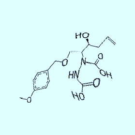 C=CC[C@H](O)[C@@H](COCc1ccc(OC)cc1)N(NC(=O)O)C(=O)O